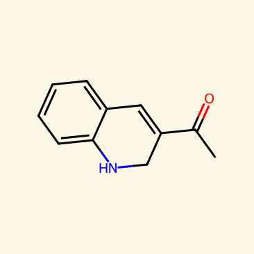 CC(=O)C1=Cc2ccccc2NC1